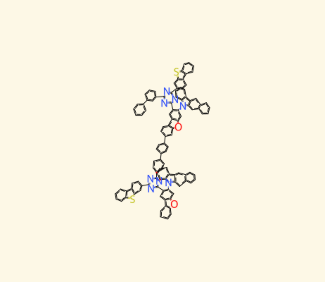 c1ccc(-c2cccc(-c3nc(-c4ccc5c(c4)sc4ccccc45)nc(-c4cc5c(cc4-n4c6ccccc6c6cc7ccccc7cc64)oc4cc(-c6ccc(-c7ccc(-c8nc(-c9ccc%10c(c9)sc9ccccc9%10)nc(-c9cc%10c(cc9-n9c%11ccccc%11c%11cc%12ccccc%12cc%119)oc9ccccc9%10)n8)cc7)cc6)ccc45)n3)c2)cc1